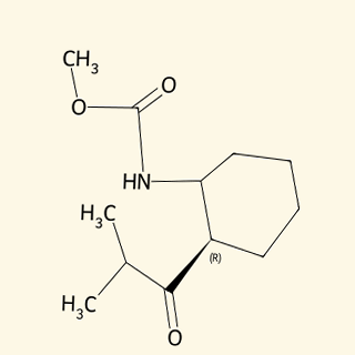 COC(=O)NC1CCCC[C@H]1C(=O)C(C)C